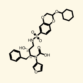 O=C(O)N(c1ccoc1)[C@@H](Cc1ccccc1)[C@H](O)CNS(=O)(=O)c1ccc2c(c1)OCC(OC1CCCCC1)O2